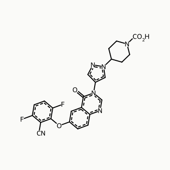 N#Cc1c(F)ccc(F)c1Oc1ccc2ncn(-c3cnn(C4CCN(C(=O)O)CC4)c3)c(=O)c2c1